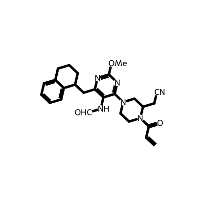 C=CC(=O)N1CCN(c2nc(OC)nc(CC3CCCc4ccccc43)c2NC=O)CC1CC#N